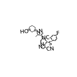 Cc1c(-c2cc(Sc3ccc(F)cc3C#N)c3c(C#N)cnn3c2)cnn1[C@H]1CCC[C@@H](O)C1